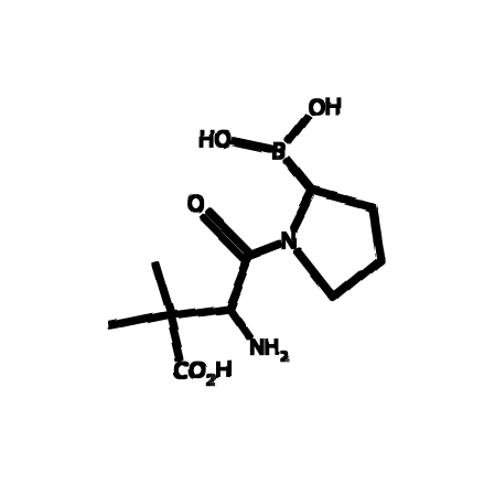 CC(C)(C(=O)O)C(N)C(=O)N1CCCC1B(O)O